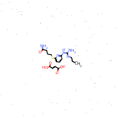 CCCN=C(N)Nc1cccc(SCCCC(N)=O)n1.O=C(O)C=CC(=O)O